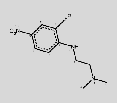 CN(C)CCNc1ccc([N+](=O)[O-])cc1F